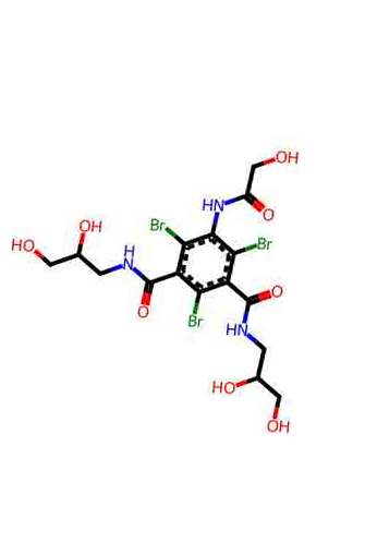 O=C(CO)Nc1c(Br)c(C(=O)NCC(O)CO)c(Br)c(C(=O)NCC(O)CO)c1Br